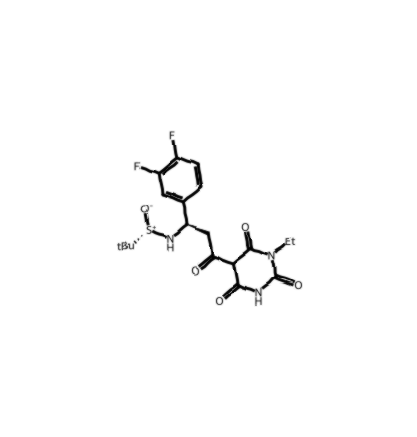 CCN1C(=O)NC(=O)C(C(=O)C[C@@H](N[S@@+]([O-])C(C)(C)C)c2ccc(F)c(F)c2)C1=O